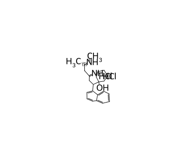 CN[C@@H](C)CC(=N)CC(c1cccc2ccccc12)C1(O)CCCCC1.Cl.Cl